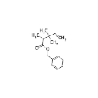 C=CC(C)(C)C(C)C(=O)OCc1ccccc1